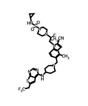 Cc1c(CN2CCC(Nc3ncnc4sc(CC(F)(F)F)cc34)CC2)ccc2c1cc(C#N)n2C[C@H](C)N1CCN(S(=O)(=O)NC2CC2)CC1